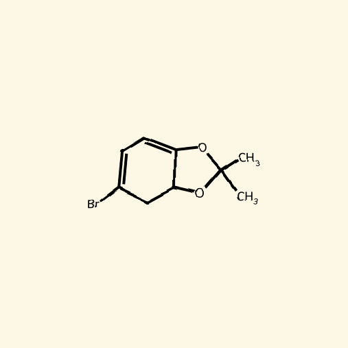 CC1(C)OC2=CC=C(Br)CC2O1